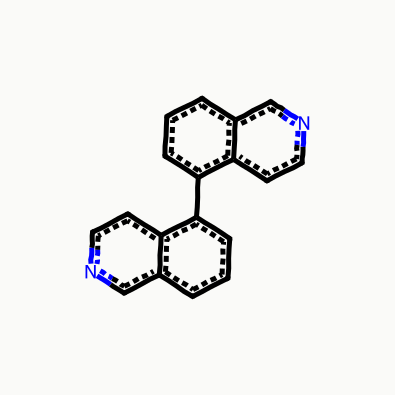 c1cc(-c2cccc3cnccc23)c2ccncc2c1